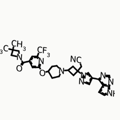 CC1(C)CN(C(=O)c2cc(OC3CCN(C4CC(CC#N)(n5cc(-c6ncnc7[nH]ccc67)cn5)C4)CC3)nc(C(F)(F)F)c2)C1